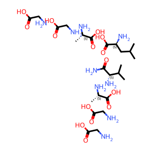 CC(C)C[C@H](N)C(=O)O.CC(C)[C@H](N)C(N)=O.C[C@H](N)C(=O)O.C[C@H](N)C(=O)O.NCC(=O)O.NCC(=O)O.NCC(=O)O.NCC(=O)O